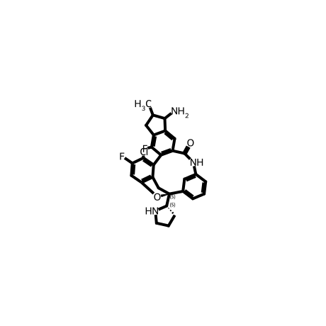 CC1Cc2c(cc3c(c2F)-c2c(Cl)c(F)cc4c2C[C@]([C@@H]2CCCN2)(O4)c2cccc(c2)NC3=O)C1N